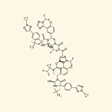 CC(C)(C[C@]1(c2ccc(-c3cnn(C4CC4)n3)cc2)NC(=N)N([C@H](CN(C(=O)OC(=O)CCC(=O)OC(=O)N(C[C@H](c2ccc(Cl)c(-c3ncnn3C(F)F)c2)N2C(=N)N[C@](CC(C)(C)C(F)(F)F)(c3ccc(-c4cnn(C5CC5)n4)cc3)C2=O)C2(C(F)F)CC2)C2(C(F)F)CC2)c2ccc(Cl)c(-c3ncnn3C(F)F)c2)C1=O)C(F)(F)F